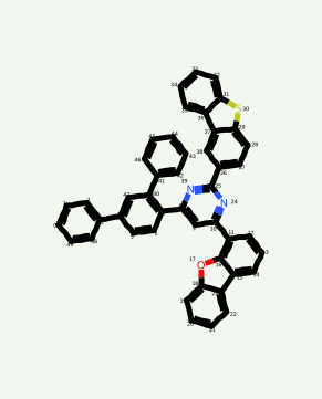 c1ccc(-c2ccc(-c3cc(-c4cccc5c4oc4ccccc45)nc(-c4ccc5sc6ccccc6c5c4)n3)c(-c3ccccc3)c2)cc1